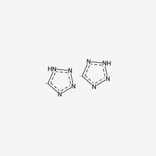 [c]1nn[nH]n1.[c]1nnn[nH]1